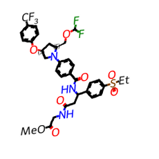 CCS(=O)(=O)c1ccc(C(CC(=O)NCC(=O)OC)NC(=O)c2ccc(N3C[C@@H](Oc4ccc(C(F)(F)F)cc4)C[C@H]3COC(F)F)cc2)cc1